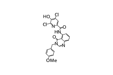 COc1ccc(Cn2cnc3cccc(NC(=O)c4cc(Cl)c(O)c(Cl)n4)c3c2=O)cc1